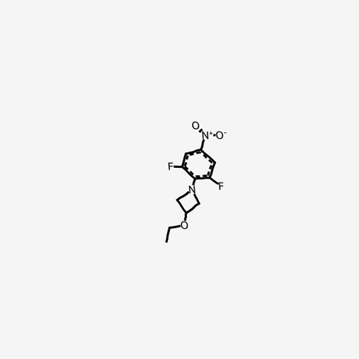 CCOC1CN(c2c(F)cc([N+](=O)[O-])cc2F)C1